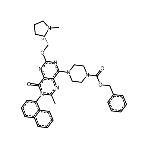 Cc1nc2c(N3CCN(C(=O)OCc4ccccc4)CC3)nc(OC[C@@H]3CCCN3C)nc2c(=O)n1-c1cccc2ccccc12